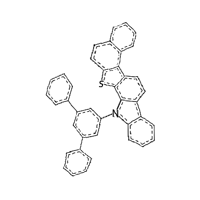 c1ccc(-c2cc(-c3ccccc3)cc(-n3c4ccccc4c4ccc5c(sc6ccc7ccccc7c65)c43)c2)cc1